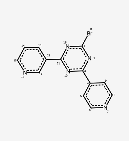 Brc1nc(-c2ccncc2)nc(-c2cccnc2)n1